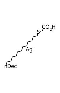 CCCCCCCCCCCCCCCCCCCCCCSCC(=O)O.[Ag]